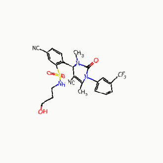 CC1=C(C#N)[C@@H](c2ccc(C#N)cc2S(=O)(=O)NCCCO)N(C)C(=O)N1c1cccc(C(F)(F)F)c1